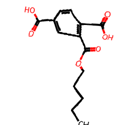 CCCCCOC(=O)c1cc(C(=O)O)ccc1C(=O)O